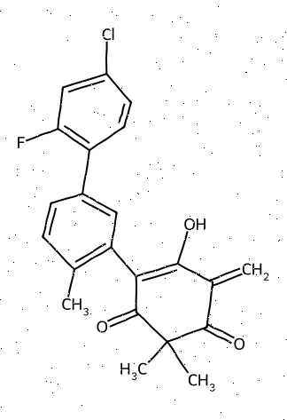 C=C1C(=O)C(C)(C)C(=O)C(c2cc(-c3ccc(Cl)cc3F)ccc2C)=C1O